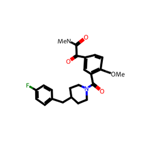 CNC(=O)C(=O)c1ccc(OC)c(C(=O)N2CCC(Cc3ccc(F)cc3)CC2)c1